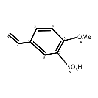 C=Cc1ccc(OC)c(S(=O)(=O)O)c1